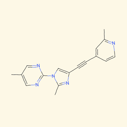 Cc1cnc(-n2cc(C#Cc3ccnc(C)c3)nc2C)nc1